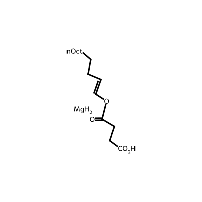 CCCCCCCCCCC=COC(=O)CCC(=O)O.[MgH2]